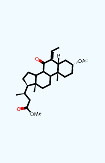 C/C=C1/C(=O)C2C3CC[C@H]([C@H](C)CC(=O)OC)[C@@]3(C)CCC2[C@@]2(C)CC[C@@H](OC(C)=O)C[C@@H]12